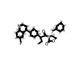 CCC(C(=O)N1C(=O)OC[C@H]1Cc1ccccc1)c1ccc(-c2ccnc3ccc(F)cc23)cc1